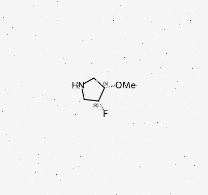 CO[C@H]1CNC[C@H]1F